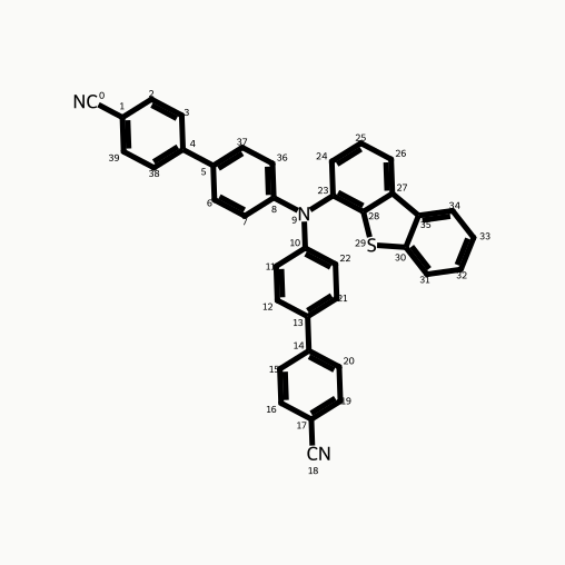 N#Cc1ccc(-c2ccc(N(c3ccc(-c4ccc(C#N)cc4)cc3)c3cccc4c3sc3ccccc34)cc2)cc1